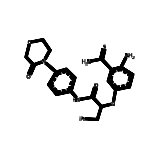 CC(C)CC(Oc1ccc(N)c(C(N)=S)c1)C(=O)Nc1ccc(N2CCOCC2=O)cc1